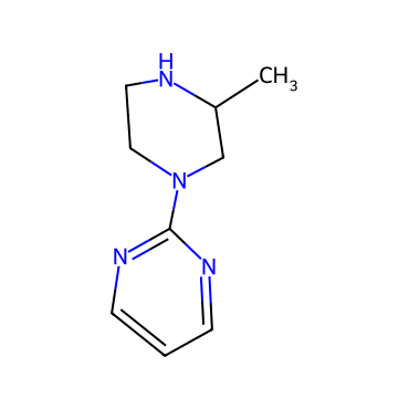 CC1CN(c2ncccn2)CCN1